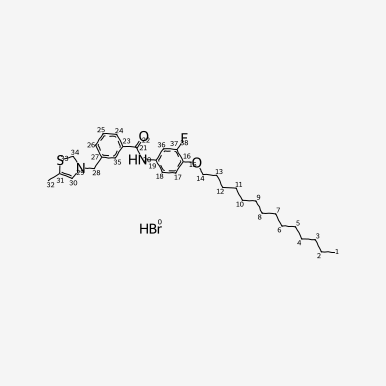 Br.CCCCCCCCCCCCCCOc1ccc(NC(=O)c2cccc(CN3C=C(C)SC3)c2)cc1F